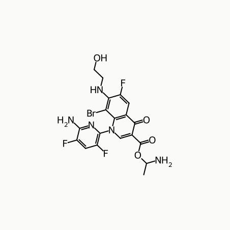 CC(N)OC(=O)c1cn(-c2nc(N)c(F)cc2F)c2c(Br)c(NCCO)c(F)cc2c1=O